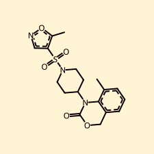 Cc1cccc2c1N(C1CCN(S(=O)(=O)c3cnoc3C)CC1)C(=O)OC2